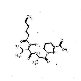 C=CCCCC(=O)N(N)[C@H](C(=O)N[C@@H](C)C(=O)N1CCC[C@@H](C(=O)O)N1)C(C)C